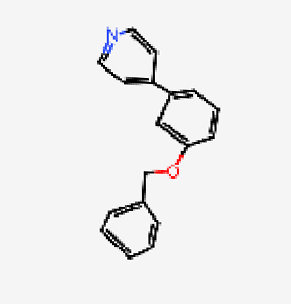 c1ccc(COc2cccc(-c3ccncc3)c2)cc1